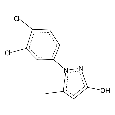 Cc1cc(O)nn1-c1ccc(Cl)c(Cl)c1